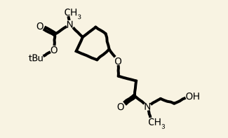 CN(CCO)C(=O)CCOC1CCC(N(C)C(=O)OC(C)(C)C)CC1